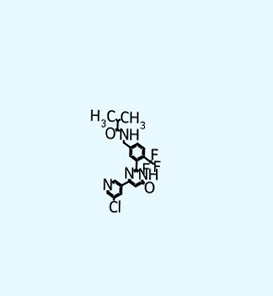 CC(C)C(=O)NCc1ccc(C(F)(F)F)c(-c2nc(-c3cncc(Cl)c3)cc(=O)[nH]2)c1